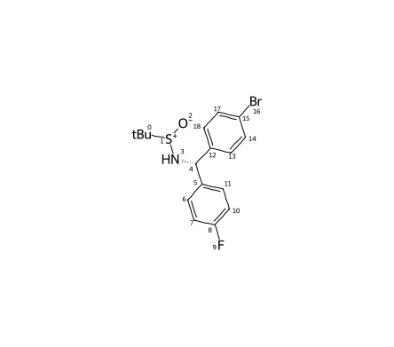 CC(C)(C)[S+]([O-])N[C@@H](c1ccc(F)cc1)c1ccc(Br)cc1